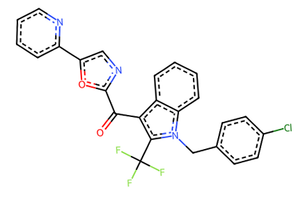 O=C(c1ncc(-c2ccccn2)o1)c1c(C(F)(F)F)n(Cc2ccc(Cl)cc2)c2ccccc12